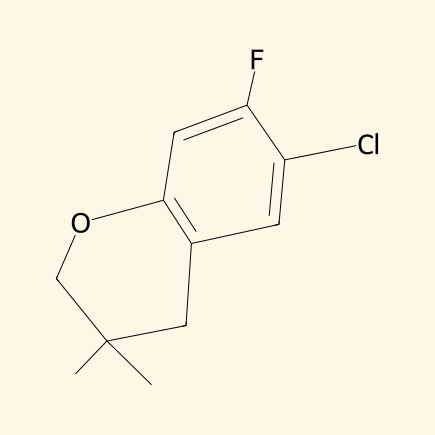 CC1(C)COc2cc(F)c(Cl)cc2C1